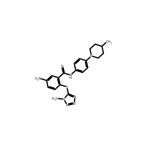 CC1CCN(c2ccc(NC(=O)c3cc([N+](=O)[O-])ccc3Sc3nnnn3C)cc2)CC1